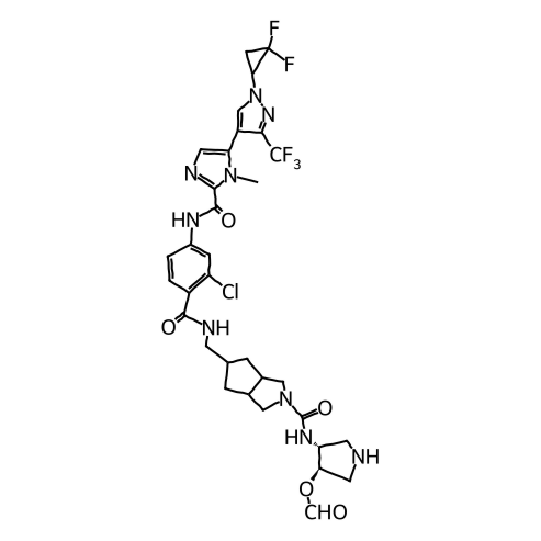 Cn1c(-c2cn(C3CC3(F)F)nc2C(F)(F)F)cnc1C(=O)Nc1ccc(C(=O)NCC2CC3CN(C(=O)N[C@@H]4CNC[C@H]4OC=O)CC3C2)c(Cl)c1